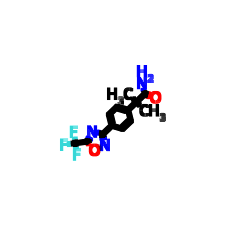 CC(C)(C(N)=O)c1ccc(-c2noc(C(F)(F)F)n2)cc1